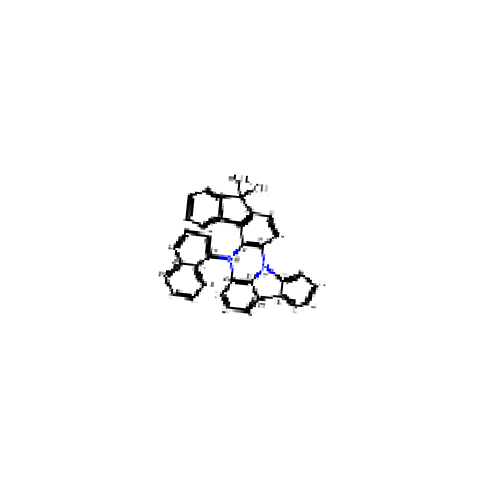 CC1(C)c2ccccc2-c2c1ccc1c2N(c2cccc3ccccc23)c2cccc3c4ccccc4n-1c23